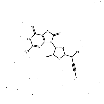 CC#CC(O)C1OC(n2c(=O)sc3c(=O)[nH]c(N)nc32)[C@H](C)S1